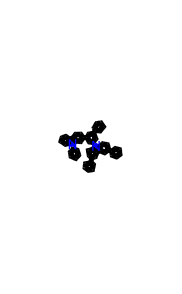 c1ccc(-c2cc(-c3ccc4c5ccccc5n(-c5ccccc5)c4c3)cc(-n3c4ccc(-c5ccccc5)cc4c4cc(-c5ccccc5)ccc43)c2)cc1